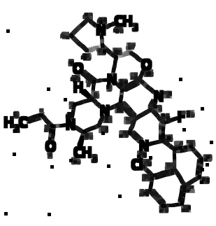 C=CC(=O)N1C[C@@H]2C(=O)N3c4c(nc5c(F)c(-c6cccc7cccc(Cl)c67)ncc5c4N2C[C@H]1C)OC[C@H]3[C@@H]1CCCN1C